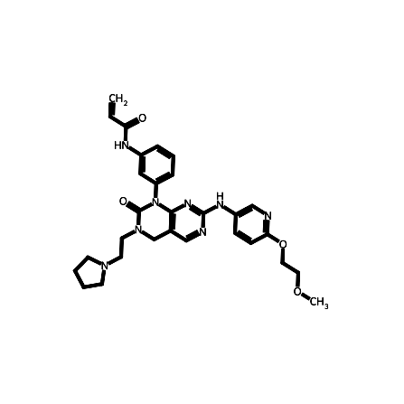 C=CC(=O)Nc1cccc(N2C(=O)N(CCN3CCCC3)Cc3cnc(Nc4ccc(OCCOC)nc4)nc32)c1